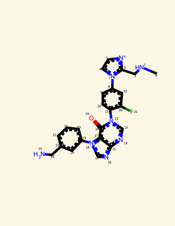 CNCc1nccn1-c1ccc(-n2cnc3ncn(-c4cccc(CN)c4)c3c2=O)c(F)c1